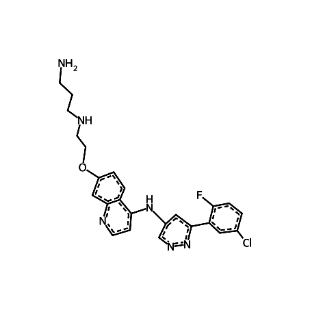 NCCCNCCOc1ccc2c(Nc3cnnc(-c4cc(Cl)ccc4F)c3)ccnc2c1